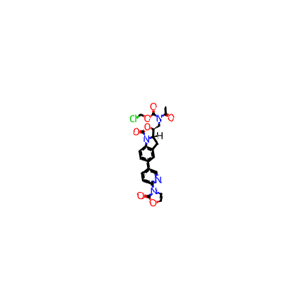 CC(=O)N(C[C@@H]1OC(=O)N2c3ccc(-c4ccc(N5CCOC5=O)nc4)cc3C[C@@H]12)C(=O)OCCl